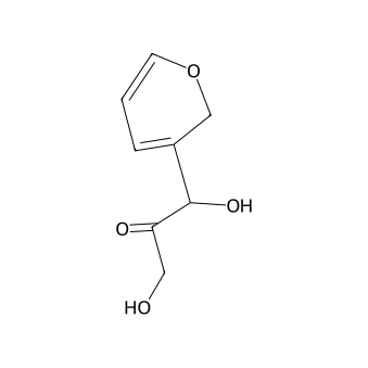 O=C(CO)C(O)C1=CC=COC1